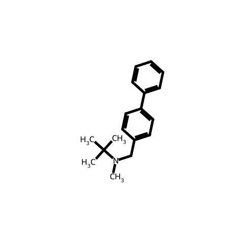 CN(Cc1ccc(-c2ccccc2)cc1)C(C)(C)C